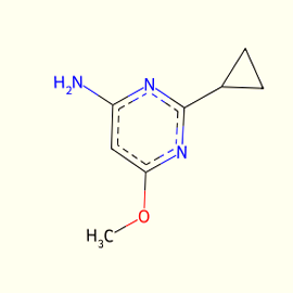 COc1cc(N)nc(C2CC2)n1